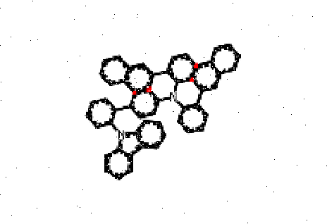 c1ccc(N(c2ccc(-c3ccccc3-n3c4ccccc4c4ccccc43)cc2)c2ccccc2-c2ccc3ccccc3c2)c(-c2ccc3ccccc3c2)c1